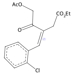 CCOC(=O)C/C(=C/c1ccccc1Cl)C(=O)COC(C)=O